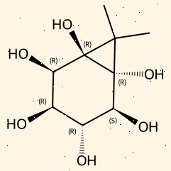 CC1(C)[C@@]2(O)[C@H](O)[C@H](O)[C@@H](O)[C@H](O)[C@]12O